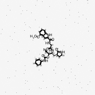 COc1cccc2[nH]c(C(=O)NCC(=O)N[C@@H](C[C@@H]3CCNC3=O)C(C#N)OC(=O)Nc3ccccc3)cc12